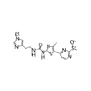 CCn1cnc(CCNC(=O)Nc2nc(C)c(-c3ccnc([S+](C)[O-])n3)s2)c1